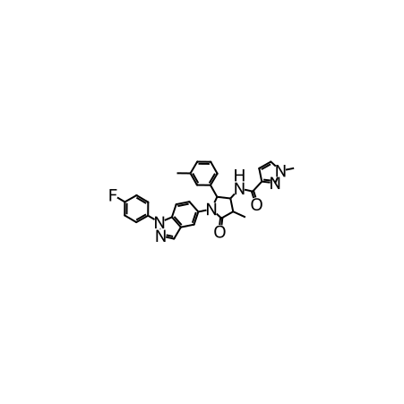 Cc1cccc(C2C(NC(=O)c3ccn(C)n3)C(C)C(=O)N2c2ccc3c(cnn3-c3ccc(F)cc3)c2)c1